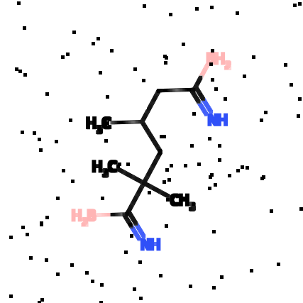 BC(=N)CC(C)CC(C)(C)C(B)=N